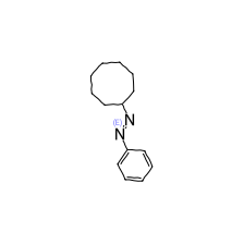 c1ccc(/N=N/C2CCCCCCC2)cc1